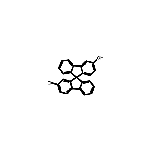 Oc1ccc2c(c1)-c1ccccc1C21c2ccccc2-c2ccc(Cl)cc21